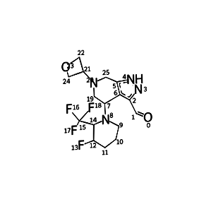 O=Cc1n[nH]c2c1C(N1CCCC(F)C1C(F)(F)F)CN(C1COC1)C2